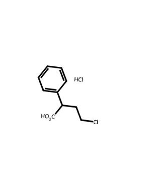 Cl.O=C(O)C(CCCl)c1ccccc1